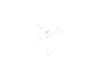 COc1ccccc1OC(=O)C(CN(CC(C)C)C(=O)N[C@@](Cc1ccccc1)(Cc1ccc(-c2ccccc2)cc1)C(=O)O)OCc1ccccc1